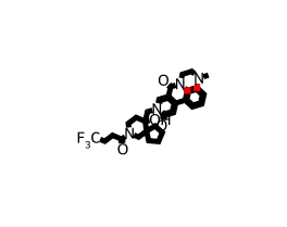 CN1CCN(C(=O)c2cn(CC3(O)CCN(C(=O)CCC(F)(F)F)CC34CCCC4)c(=O)cc2-c2ccccc2)CC1